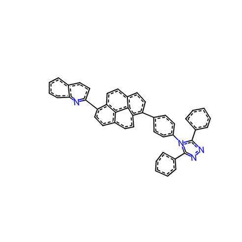 c1ccc(-c2nnc(-c3ccccc3)n2-c2ccc(-c3ccc4ccc5c(-c6ccc7ccccc7n6)ccc6ccc3c4c65)cc2)cc1